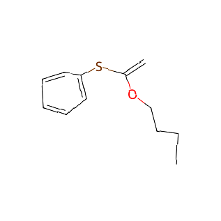 C=C(OCCCC)Sc1ccccc1